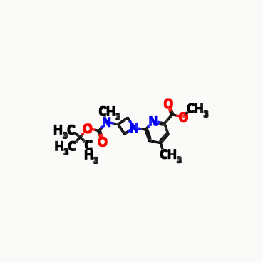 COC(=O)c1cc(C)cc(N2CC(N(C)C(=O)OC(C)(C)C)C2)n1